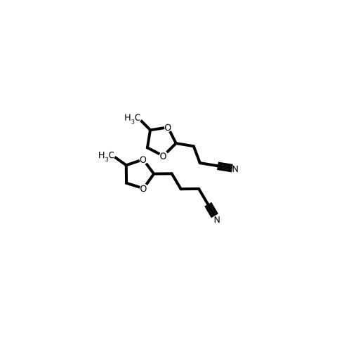 CC1COC(CCC#N)O1.CC1COC(CCCC#N)O1